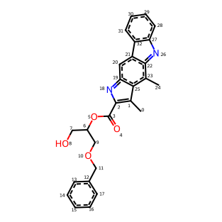 CC1=C(C(=O)OC(CO)COCc2ccccc2)N=c2cc3c(c(C)c21)=Nc1ccccc1-3